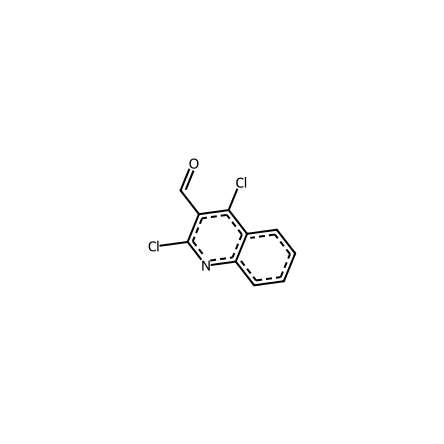 O=Cc1c(Cl)nc2ccccc2c1Cl